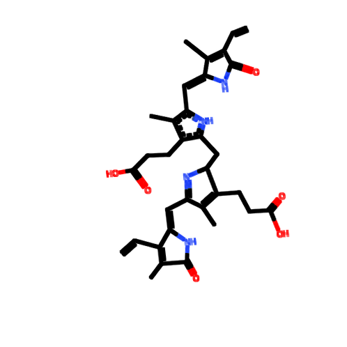 C=CC1=C(C)/C(=C/c2[nH]c(CC3N=C(/C=C4\NC(=O)C(C)=C4C=C)C(C)=C3CCC(=O)O)c(CCC(=O)O)c2C)NC1=O